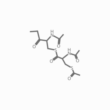 CCC(=O)C(CSC(=O)C(CSC(C)=O)NC(C)=O)NC(C)=O